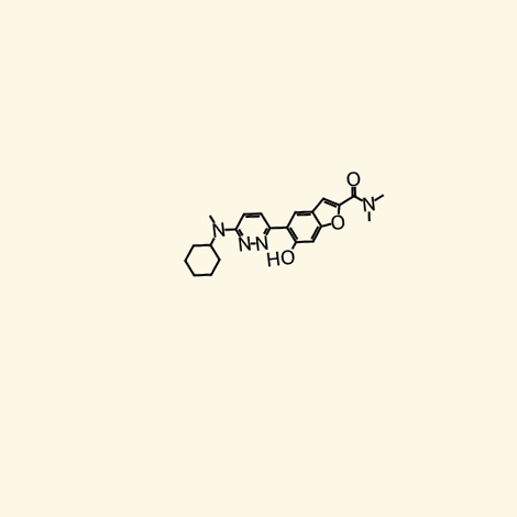 CN(C)C(=O)c1cc2cc(-c3ccc(N(C)C4CCCCC4)nn3)c(O)cc2o1